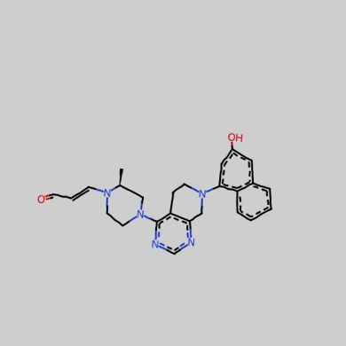 C[C@H]1CN(c2ncnc3c2CCN(c2cc(O)cc4ccccc24)C3)CCN1C=CC=O